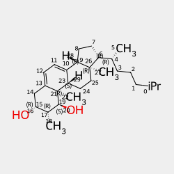 CC(C)CCC[C@@H](C)[C@H]1CC[C@H]2C3=CC=C4C[C@@H](O)[C@@H](C)[C@H](O)[C@]4(C)[C@H]3CC[C@]12C